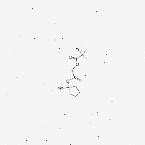 CCCC1(OC(=O)COC(=O)C(C)(C)CC)CCCC1